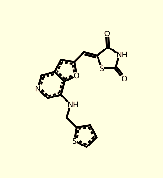 O=C1NC(=O)C(=Cc2cc3cncc(NCc4cccs4)c3o2)S1